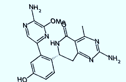 COc1nc(-c2cc(O)ccc2[C@H]2Cc3nc(N)nc(C)c3C(=O)N2)cnc1N